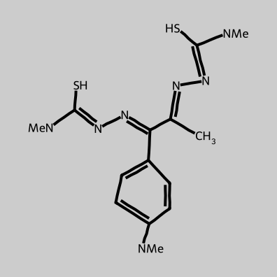 CN/C(S)=N/N=C(C)/C(=N/N=C(\S)NC)c1ccc(NC)cc1